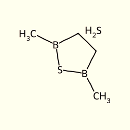 CB1CCB(C)S1.S